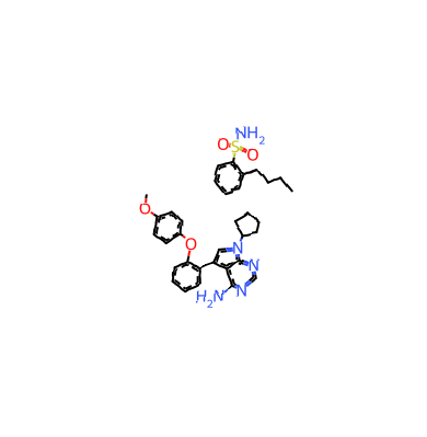 CCCCc1ccccc1S(N)(=O)=O.COc1ccc(Oc2ccccc2-c2cn(C3CCCC3)c3ncnc(N)c23)cc1